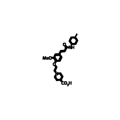 COc1cc(C=CC(=O)N[C@H]2CC[C@H](C)CC2)ccc1OCCN1CCC(C(=O)O)CC1